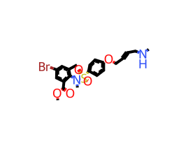 CNCC#CCOc1ccc(S(=O)(=O)N(C)c2c(C)cc(Br)cc2C(=O)OC)cc1